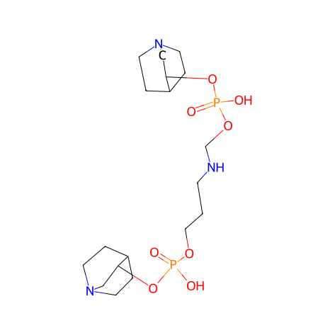 O=P(O)(OCCCNCOP(=O)(O)OC1CN2CCC1CC2)OC1CN2CCC1CC2